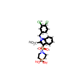 O=C(O)c1c(S(=O)(=O)N2CCS(O)(O)CC2)c2ccccc2n1Cc1ccc(Cl)c(Cl)c1